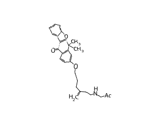 C=C(CCCOc1ccc2c(c1)C(C)(C)c1oc3ccccc3c1C2=O)CCNCC(C)=O